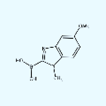 COc1ccc2c(c1)nc(B(O)O)n2C